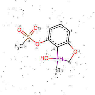 CC(C)(C)[PH]1(O)COc2cccc(OS(=O)(=O)C(F)(F)F)c21